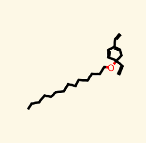 C=CC1=CCC(C=C)(OCCCCCCCCCCCCCC)C=C1